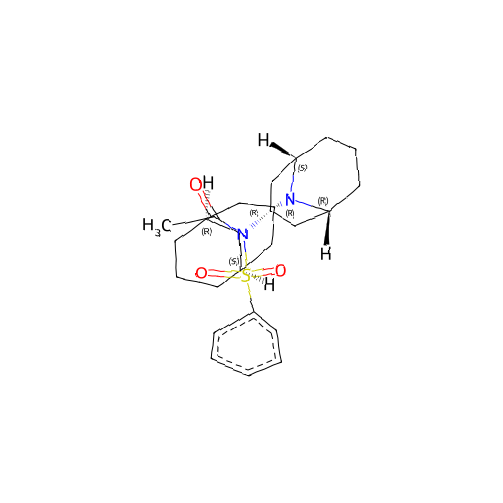 CC(=O)N([C@H]1C[C@H]2CCC[C@@H](C1)N2[C@H]1C[C@@H]2CCC[C@@H](C2)C1)S(=O)(=O)c1ccccc1